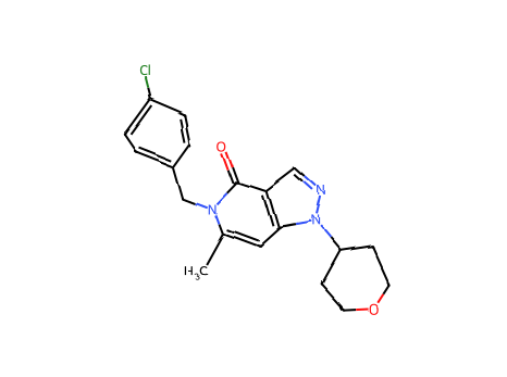 Cc1cc2c(cnn2C2CCOCC2)c(=O)n1Cc1ccc(Cl)cc1